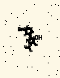 Cc1c(O)c(-c2cccc(Br)c2)nn1C(C)C